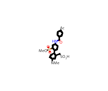 CNc1ccc(-c2ccc(NC(=O)c3ccc(C(C)=O)cc3)cc2S(=O)(=O)OC)c(CS(=O)(=O)O)c1